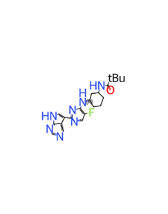 CC(C)(C)C(=O)NC1CCC[C@@H](Nc2nc(-c3c[nH]c4ncncc34)ncc2F)C1